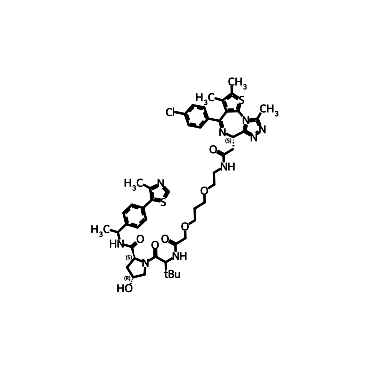 Cc1ncsc1-c1ccc(C(C)NC(=O)[C@@H]2C[C@@H](O)CN2C(=O)C(NC(=O)COCCCOCCNC(=O)C[C@@H]2N=C(c3ccc(Cl)cc3)c3c(sc(C)c3C)-n3c(C)nnc32)C(C)(C)C)cc1